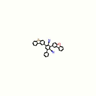 N#Cc1c(-c2ccccc2)cc(-c2ccc3sc4ccccc4c3c2)c(C#N)c1-c1ccc2oc3ccccc3c2c1